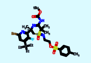 CC[Si](CC)(CC)c1cc(Br)nc([C@]2(C)C[S@@](=O)(=NCCOS(=O)(=O)c3ccc(C)cc3)C(C)(C)C(NC(=O)OC(C)(C)C)=N2)c1F